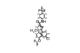 CC1(c2ccc(OC(F)F)cc2)CN(C(=O)Nc2ccc(C(F)(F)F)cc2)N=C1c1ccc(Cl)cc1